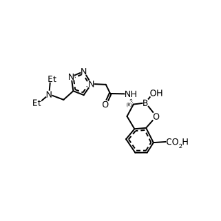 CCN(CC)Cc1cn(CC(=O)N[C@H]2Cc3cccc(C(=O)O)c3OB2O)nn1